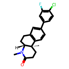 CN1C(=O)CC[C@]2(C)c3ccc(-c4ccc(Cl)c(F)c4)cc3CC[C@@H]12